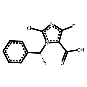 C[C@H](c1ccccc1)n1c(Cl)nc(F)c1C(=O)O